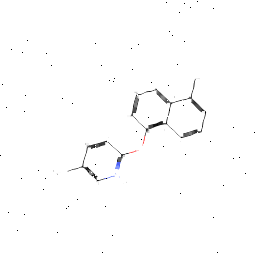 Cc1cccc2c(Oc3ccc(C#N)cn3)cccc12